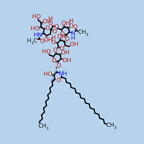 CCCCCCCCCCCCC/C=C/[C@@H](O)[C@H](CO[C@@H]1OC(CO)[C@@H](O[C@@H]2OC(CO)[C@H](O[C@@H]3OC(CO[C@]4(C(=O)O)CC(O)[C@@H](NC(C)=O)C([C@H](O)[C@H](O)CO)O4)[C@H](O)[C@H](O)C3NC(C)=O)[C@H](O)C2O)[C@H](O)C1O)NC(=O)CCCCCCCCCCCCCCCCCCC